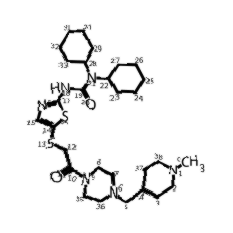 CN1CCC(CN2CCN(C(=O)CSc3cnc(NC(=O)N(C4CCCCC4)C4CCCCC4)s3)CC2)CC1